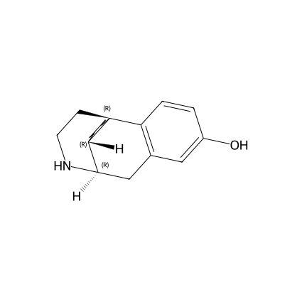 Oc1ccc2c(c1)C[C@H]1NCC[C@@]23CCCC[C@@H]13